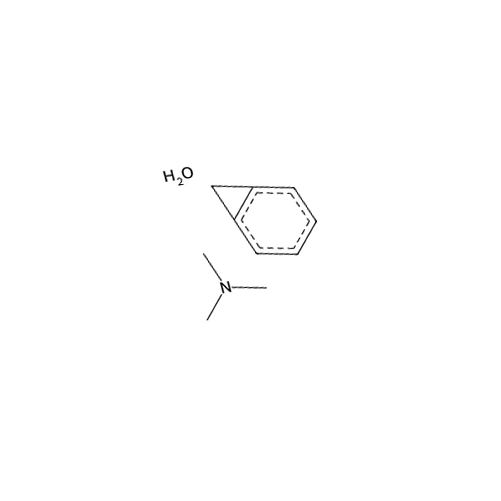 CN(C)C.O.c1ccc2c(c1)C2